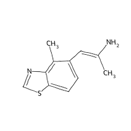 C/C(N)=C\c1ccc2scnc2c1C